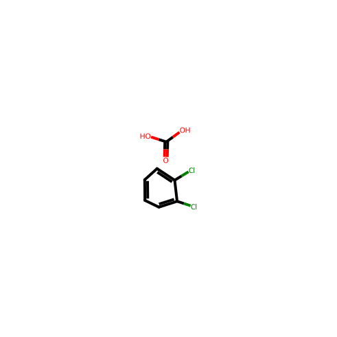 Clc1ccccc1Cl.O=C(O)O